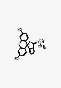 N#CS.N=C=S.O=C1OC2(c3ccc(O)cc3Oc3cc(O)ccc32)c2ccccc21